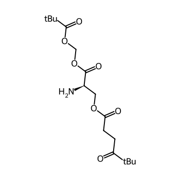 CC(C)(C)C(=O)CCC(=O)OC[C@@H](N)C(=O)OCOC(=O)C(C)(C)C